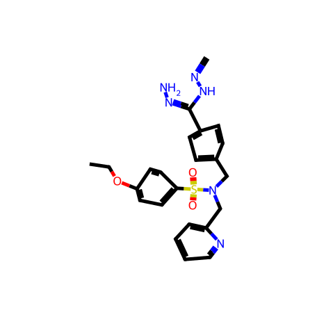 C=NN/C(=N\N)c1ccc(CN(Cc2ccccn2)S(=O)(=O)c2ccc(OCC)cc2)cc1